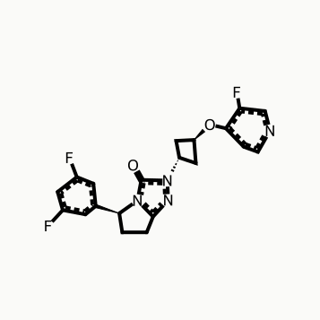 O=c1n2c(nn1[C@H]1C[C@H](Oc3ccncc3F)C1)CC[C@H]2c1cc(F)cc(F)c1